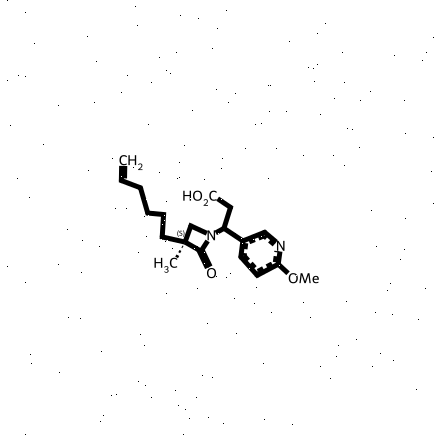 C=CCCCC[C@@]1(C)CN(C(CC(=O)O)c2ccc(OC)nc2)C1=O